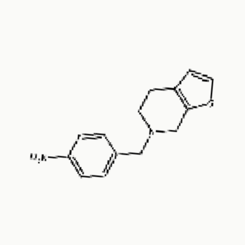 O=[N+]([O-])c1ccc(CN2CCc3ccsc3C2)cc1